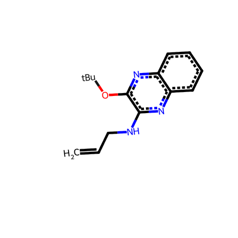 C=CCNc1nc2ccccc2nc1OC(C)(C)C